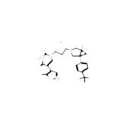 Cc1oncc1-c1cn(CCCN2C[C@@H]3C[C@]3(c3ccc(C(F)(F)F)cc3)C2)c(=O)[nH]c1=O.Cl